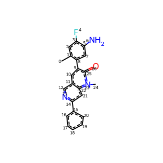 Cc1cc(F)c(N)cc1-c1cc2cnc(-c3ccccc3)cc2n(C)c1=O